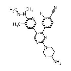 C=NN(C)c1ncc(-c2cnc(N3CCC(N)CC3)nc2-c2ccc(C#N)c(F)c2)cc1C